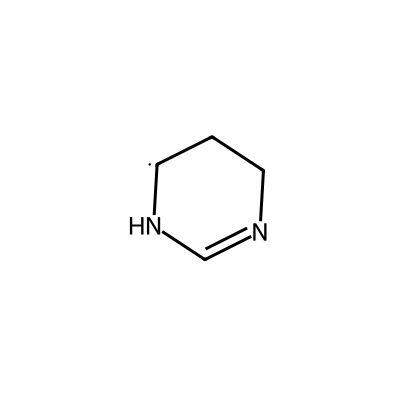 [CH]1CCN=CN1